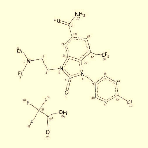 CCN(CC)CCn1c(=O)n(-c2ccc(Cl)cc2)c2c(C(F)(F)F)cc(C(N)=O)cc21.O=C(O)C(F)(F)F